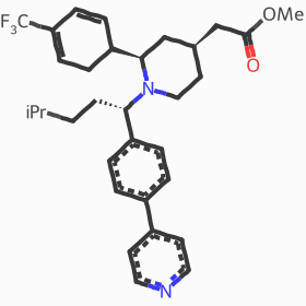 COC(=O)C[C@H]1CCN([C@@H](CCC(C)C)c2ccc(-c3ccncc3)cc2)[C@@H](C2C=CC(C(F)(F)F)=CC2)C1